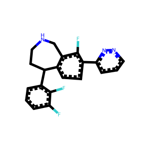 Fc1cccc(C2CCNCc3c2ccc(-c2cccnn2)c3F)c1F